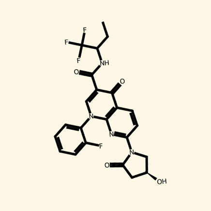 CCC(NC(=O)c1cn(-c2ccccc2F)c2nc(N3C[C@@H](O)CC3=O)ccc2c1=O)C(F)(F)F